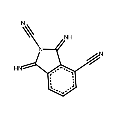 N#Cc1cccc2c1C(=N)N(C#N)C2=N